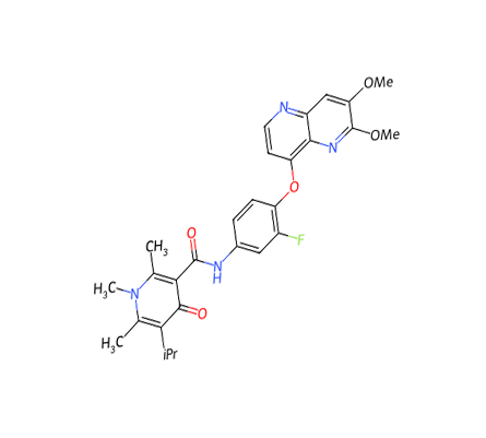 COc1cc2nccc(Oc3ccc(NC(=O)c4c(C)n(C)c(C)c(C(C)C)c4=O)cc3F)c2nc1OC